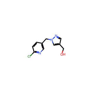 OCc1cnn(Cc2ccc(Cl)nc2)c1